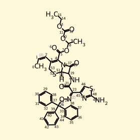 C/C=C\C1=C(C(=O)OC(C)OC(=O)OCC)N2C(=O)C(NC(=O)/C(=N\OC(c3ccccc3)(c3ccccc3)c3ccccc3)c3csc(N)n3)[C@@H]2SC1